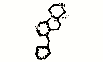 c1ccc(Cc2cncc3c2CC[C@@H]2CNCCN32)cc1